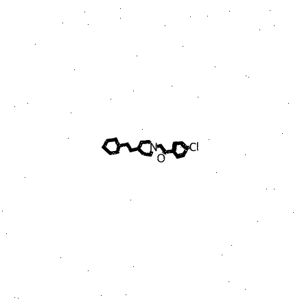 O=C(CN1CCC(CCC2CCCCC2)CC1)c1ccc(Cl)cc1